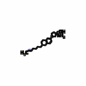 C/C=C/CCCCC1CCc2cc([C@H]3CC[C@](N)(CO)C3)ccc2C1